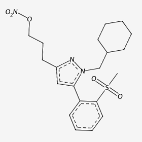 CS(=O)(=O)c1ccccc1-c1cc(CCCO[N+](=O)[O-])nn1CC1CCCCC1